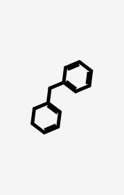 C1=CCCC(Cc2ccccc2)=C1